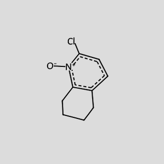 [O-][n+]1c(Cl)ccc2c1CCCC2